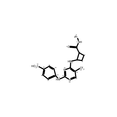 CC(C)NC(=O)C1CCC1Nc1nc(Nc2ccc(C(=O)O)cc2)ncc1C(F)(F)F